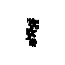 Cc1c([C@H](C)n2ccnn2)cnc(N2C[C@H]3C[C@H]3C2=O)c1C